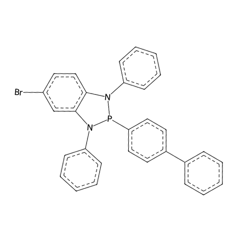 Brc1ccc2c(c1)N(c1ccccc1)P(c1ccc(-c3ccccc3)cc1)N2c1ccccc1